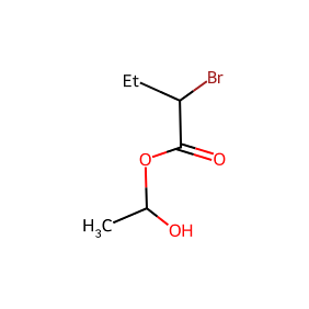 CCC(Br)C(=O)OC(C)O